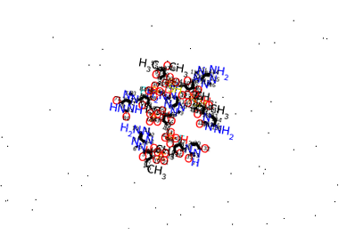 CC[C@H]1O[C@@H](n2cnc3c(N)ncnc32)[C@@H](OC)C1OP(=O)(O)OC[C@H]1O[C@@H](n2ccc(=O)[nH]c2=O)[C@@H](F)C1OP(=O)(O)OC[C@H]1O[C@@H](n2cnc3c(=O)[nH]c(N)nc32)[C@@H](OC)C1OP(=O)(O)OC[C@H]1O[C@@H](n2cnc3c(=O)[nH]c(=O)[nH]c32)[C@@H](F)C1OP(=O)(O)OC[C@H]1O[C@@H](C)[C@@H](OC)C1OP(=O)(S)OC[C@H]1O[C@@H](n2cnc3c(N)ncnc32)[C@@H](OC)C1OP(=O)(S)OC[C@H]1O[C@@H](n2ccc(N)nc2=O)[C@@H](OC)C1O